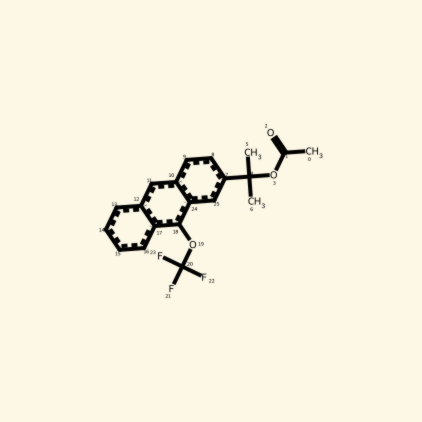 CC(=O)OC(C)(C)c1ccc2cc3ccccc3c(OC(F)(F)F)c2c1